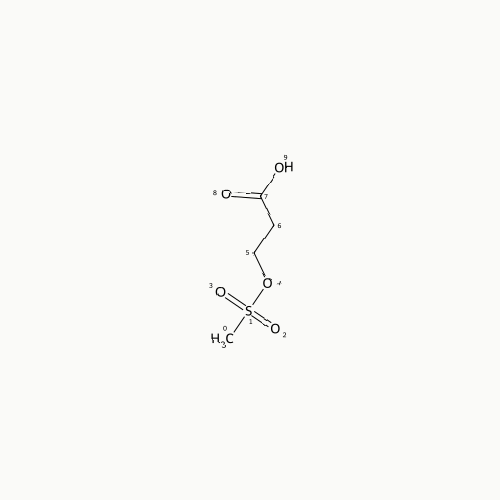 CS(=O)(=O)OCCC(=O)O